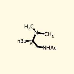 CCCC[C@H](CNC(C)=O)N(C)C